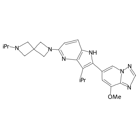 COc1cc(-c2[nH]c3ccc(N4CC5(C4)CN(C(C)C)C5)nc3c2C(C)C)cn2ncnc12